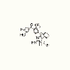 CC(C)CC[C@]1(C2=CCCC=C2)NC(=N)N(Cc2ccc(C(F)(F)F)c(C(=O)N3CC(O)C(F)C3)c2)C1=O